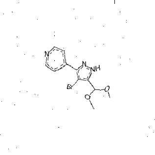 COC(OC)c1[nH]nc(-c2ccncc2)c1Br